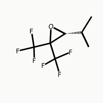 CC(C)[C@H]1OC1(C(F)(F)F)C(F)(F)F